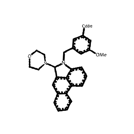 COc1cc(CN2c3cccc4c3c(cc3ccccc34)C2N2CCOCC2)cc(OC)c1